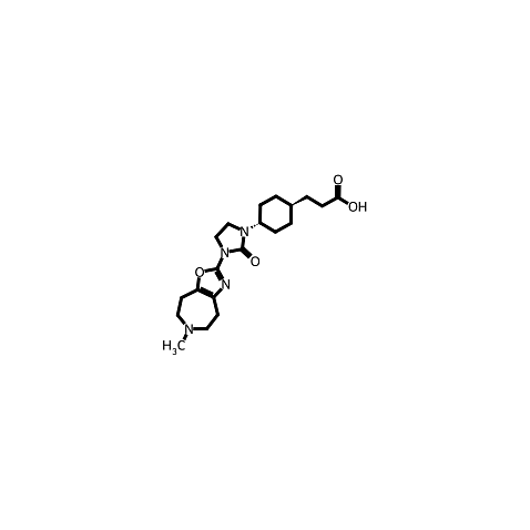 CN1CCc2nc(N3CCN([C@H]4CC[C@H](CCC(=O)O)CC4)C3=O)oc2CC1